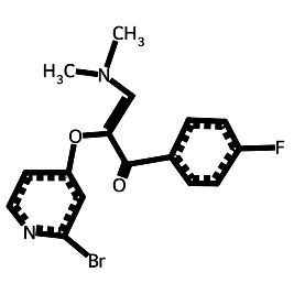 CN(C)C=C(Oc1ccnc(Br)c1)C(=O)c1ccc(F)cc1